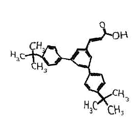 CC(C)(C)c1ccc(-c2cc(C=CC(=O)O)cc(-c3ccc(C(C)(C)C)cc3)c2)cc1